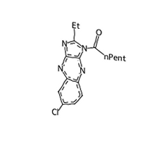 CCCCCC(=O)n1c(CC)nc2nc3cc(Cl)ccc3nc21